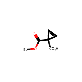 CCOC(=O)C1(C(=O)O)C=C1